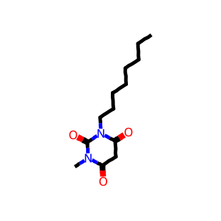 CCCCCCCCN1C(=O)CC(=O)N(C)C1=O